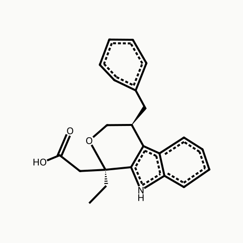 CC[C@]1(CC(=O)O)OC[C@@H](Cc2ccccc2)c2c1[nH]c1ccccc21